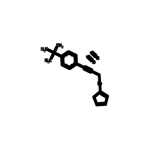 CC(C)(C)c1ccc(C#C[CH2][Fe][C]2=CC=CC2)cc1.[C]=O.[C]=O